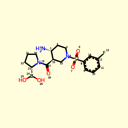 N[C@@H]1CCN(S(=O)(=O)c2cccc(F)c2)C[C@H]1C(=O)N1CCC[C@H]1B(O)O